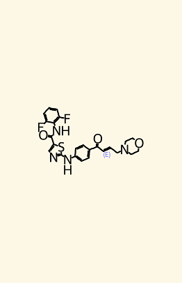 O=C(/C=C/CN1CCOCC1)c1ccc(Nc2ncc(C(=O)Nc3c(F)cccc3F)s2)cc1